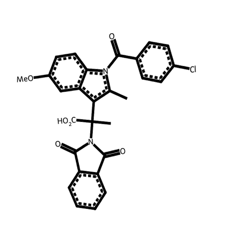 COc1ccc2c(c1)c(C(C)(C(=O)O)N1C(=O)c3ccccc3C1=O)c(C)n2C(=O)c1ccc(Cl)cc1